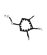 Nc1c(F)cc(OC(F)(F)F)cc1I